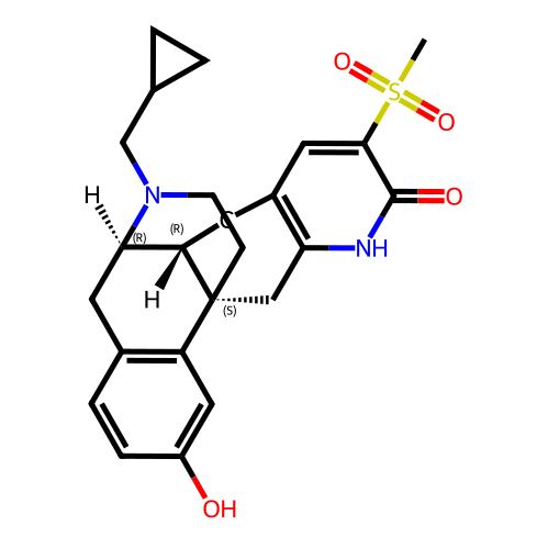 CS(=O)(=O)c1cc2c([nH]c1=O)C[C@]13CCN(CC4CC4)[C@H](Cc4ccc(O)cc41)[C@@H]3C2